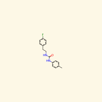 Cc1ccc(NC(=O)NCCc2ccc(F)cc2)cc1